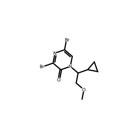 COCC(C1CC1)n1cc(Br)nc(Br)c1=O